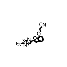 CCc1nn2cc(-c3cc4cccc(OCCCC#N)c4o3)nc2s1